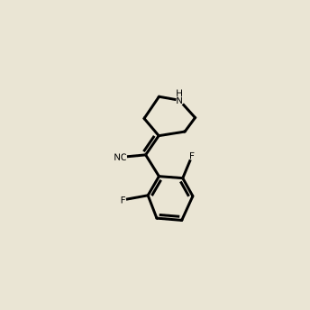 N#CC(=C1CCNCC1)c1c(F)cccc1F